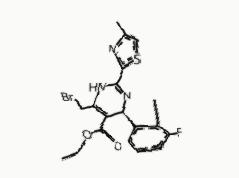 CCOC(=O)C1=C(CBr)NC(c2nc(C)cs2)=N[C@H]1c1cccc(F)c1C